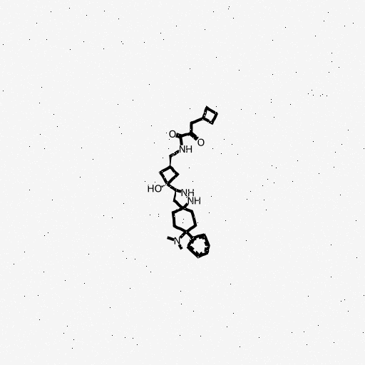 CN(C)C1(c2ccccc2)CCC2(CC1)C[C@@H]([C@]1(O)C[C@H](CNC(=O)C(=O)CC3CCC3)C1)NN2